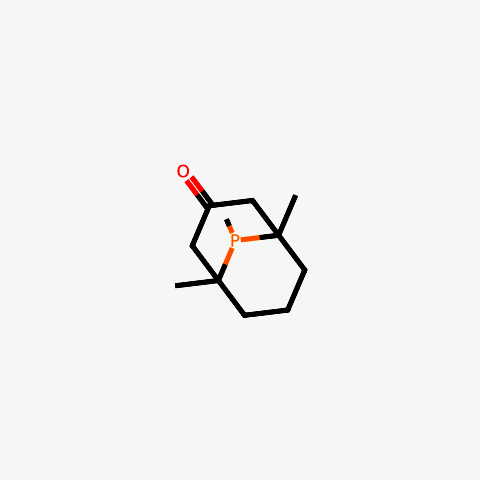 CP1C2(C)CCCC1(C)CC(=O)C2